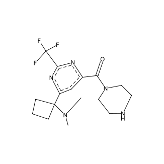 CN(C)C1(c2cc(C(=O)N3CCNCC3)nc(C(F)(F)F)n2)CCC1